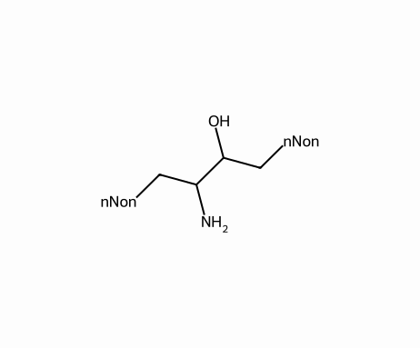 CCCCCCCCCCC(N)C(O)CCCCCCCCCC